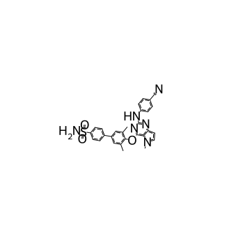 Cc1cc(-c2ccc(S(N)(=O)=O)cc2)cc(C)c1Oc1nc(Nc2ccc(C#N)cc2)nc2ccn(C)c12